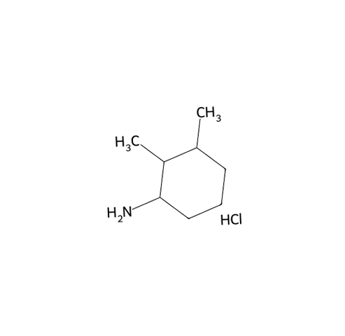 CC1CCCC(N)C1C.Cl